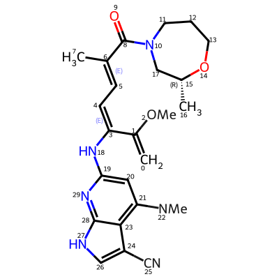 C=C(OC)/C(=C\C=C(/C)C(=O)N1CCCO[C@H](C)C1)Nc1cc(NC)c2c(C#N)c[nH]c2n1